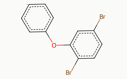 Brc1ccc(Br)c(Oc2cc[c]cc2)c1